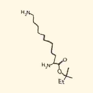 CCC(C)(C)OC(=O)C(N)CCCCCCCCCN